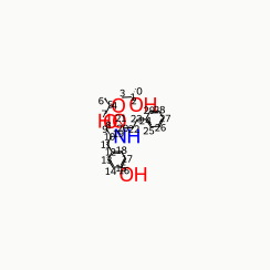 C[C@H](O)CO[C@H](C)COC[C@H](Cc1ccc(O)cc1)NC(O)CCc1ccccc1